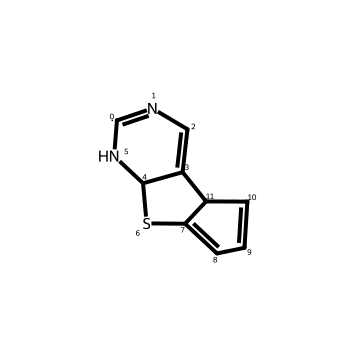 [C]1=NC=C2C(N1)SC1=CC=CC12